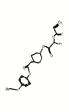 C=CC(=O)OC(CCC)C(=O)OC1CCC(C(=O)Oc2ccc(OC(C)CC)cc2)CC1